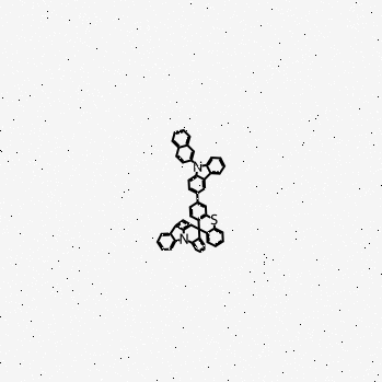 c1ccc2c(c1)Sc1cc(-c3ccc4c(c3)c3ccccc3n4-c3ccc4ccccc4c3)ccc1C21c2ccccc2-n2c3ccccc3c3cccc1c32